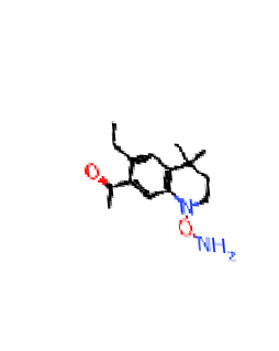 CCc1cc2c(cc1C(C)=O)N(ON)CCC2(C)C